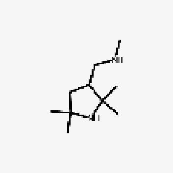 CNCC1CC(C)(C)NC1(C)C